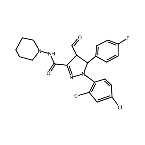 O=CC1C(C(=O)NN2CCCCC2)=NN(c2ccc(Cl)cc2Cl)C1c1ccc(F)cc1